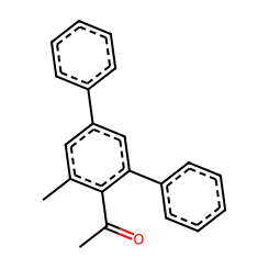 CC(=O)c1c(C)cc(-c2ccccc2)cc1-c1ccccc1